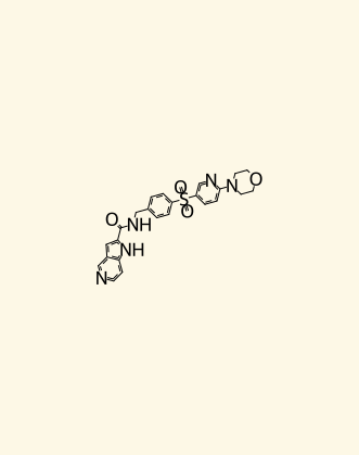 O=C(NCc1ccc(S(=O)(=O)c2ccc(N3CCOCC3)nc2)cc1)c1cc2cnccc2[nH]1